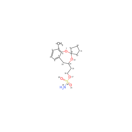 Cc1cccc2c1OC1(CCCC1)OC(CCOS(N)(=O)=O)C2